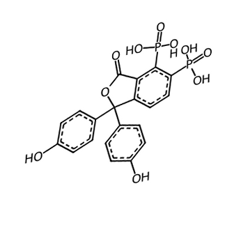 O=C1OC(c2ccc(O)cc2)(c2ccc(O)cc2)c2ccc(P(=O)(O)O)c(P(=O)(O)O)c21